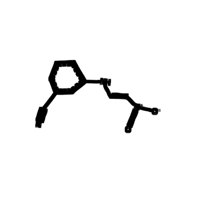 N#Cc1cccc(NC=C[N+](=O)[O-])c1